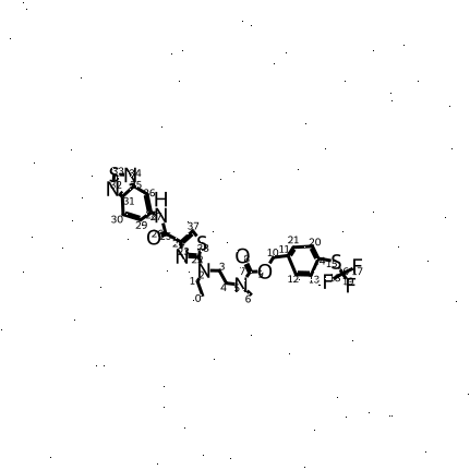 CCN(CCN(C)C(=O)OCc1ccc(SC(F)(F)F)cc1)c1nc(C(=O)Nc2ccc3nsnc3c2)cs1